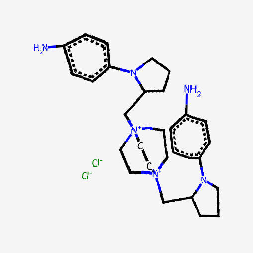 Nc1ccc(N2CCCC2C[N+]23CC[N+](CC4CCCN4c4ccc(N)cc4)(CC2)CC3)cc1.[Cl-].[Cl-]